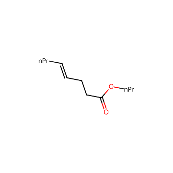 CCCC=CCCC(=O)OCCC